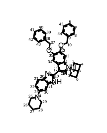 C1CN2CCC12.c1ccc(COc2cc3[nH]nc(-c4nc5ccc(N6CCCCC6)cc5[nH]4)c3cc2OCc2ccccc2)cc1